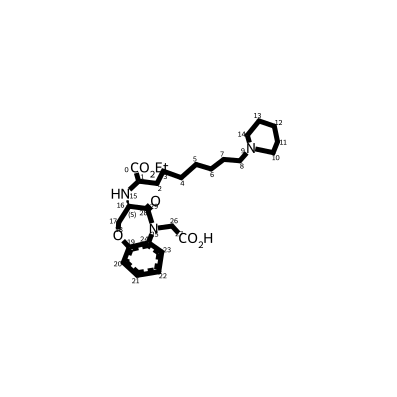 CCOC(=O)C(CCCCCCCN1CCCCC1)N[C@H]1COc2ccccc2N(CC(=O)O)C1=O